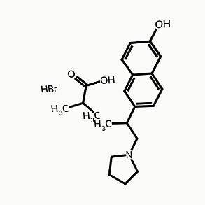 Br.CC(C)C(=O)O.CC(CN1CCCC1)c1ccc2cc(O)ccc2c1